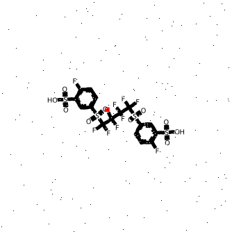 O=S(=O)(O)c1cc(S(=O)(=O)C(F)(F)C(F)(F)C(F)(F)C(F)(F)S(=O)(=O)c2ccc(F)c(S(=O)(=O)O)c2)ccc1F